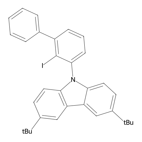 CC(C)(C)c1ccc2c(c1)c1cc(C(C)(C)C)ccc1n2-c1cccc(-c2ccccc2)c1I